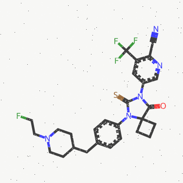 N#Cc1ncc(N2C(=O)C3(CCC3)N(c3ccc(CC4CCN(CCF)CC4)cc3)C2=S)cc1C(F)(F)F